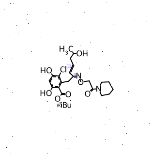 CC[C@@H](C)OC(=O)c1c(O)cc(O)c(Cl)c1CC(/C=C/CC(C)O)=N\OCC(=O)N1CCCCC1